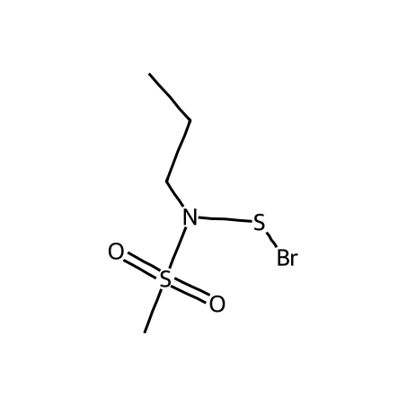 CCCN(SBr)S(C)(=O)=O